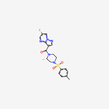 Cc1ccc(S(=O)(=O)N2CCN(C(=O)c3cnn4cc(F)cnc34)[C@@H](C)C2)cc1